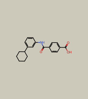 O=C(O)c1ccc(C(=O)Nc2cccc(C3CCCCC3)c2)cc1